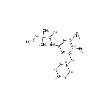 CCC(C)(C)C(=O)Nc1cc(C)c(Br)c(CN2CCOCC2)c1